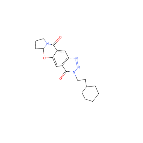 O=C1c2cc3nnn(CCC4CCCCC4)c(=O)c3cc2OC2CCCN12